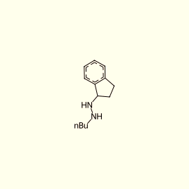 CCCCNNC1CCc2ccccc21